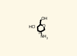 Cl.N[C@H]1CCC(CO)OC1